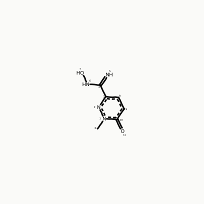 Cn1nc(C(=N)NO)ccc1=O